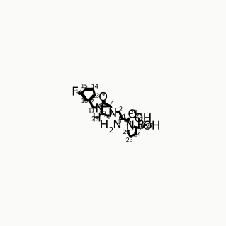 N[C@@H](CN1C[C@@H]2CC1C(=O)N2Cc1cccc(F)c1)C(=O)N1CCCC1B(O)O